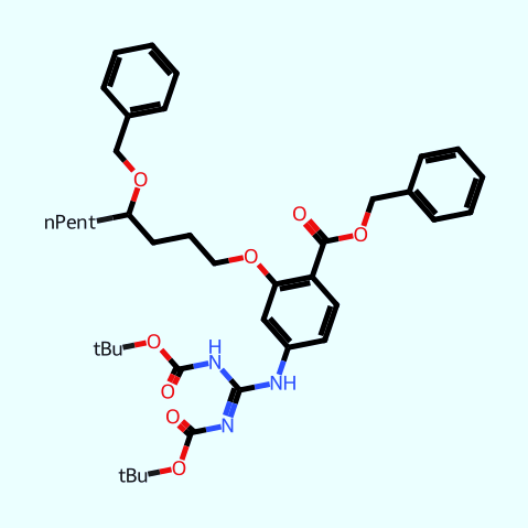 CCCCCC(CCCOc1cc(N/C(=N/C(=O)OC(C)(C)C)NC(=O)OC(C)(C)C)ccc1C(=O)OCc1ccccc1)OCc1ccccc1